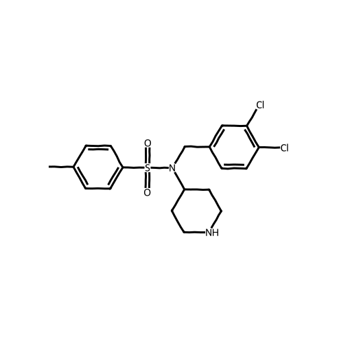 Cc1ccc(S(=O)(=O)N(Cc2ccc(Cl)c(Cl)c2)C2CCNCC2)cc1